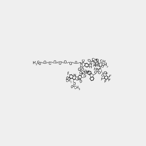 CC[C@@]1(OC(=O)OCc2ccc(NC(=O)[C@H](C)NC(=O)[C@@H](NC(=O)[C@H](CCC(=O)Oc3c(F)c(F)c(F)c(F)c3F)NC(=O)OCC3c4ccccc4-c4ccccc43)C(C)C)cc2C(=O)NCCOCCOCCOCCOCCOCCOCCOCCOC)C(=O)OCc2c1cc1n(c2=O)Cc2c-1nc1cc(F)c(OC)cc1c2COC(C)=O